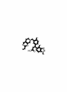 CCc1ncc2c(n1)CN(Cc1cc(C(CC(=O)O)c3ccc4c(nnn4C)c3C)ccc1C)CC2